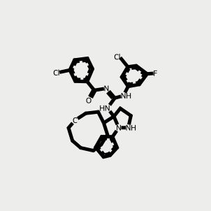 O=C(/N=C(/Nc1cc(F)cc(Cl)c1)NC1(C2CCCCCCCCC2)CCNN1c1ccccc1)c1cccc(Cl)c1